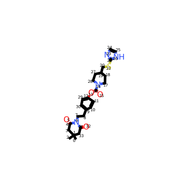 CC1(C)CC(=O)N(CCc2ccc(OC(=O)N3CCC(CSc4ncc[nH]4)CC3)cc2)C(=O)C1